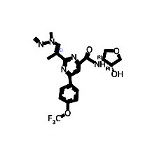 C=NN(C)/C=C(\C)c1nc(C(=O)N[C@@H]2COC[C@@H]2O)cc(-c2ccc(OC(F)(F)F)cc2)n1